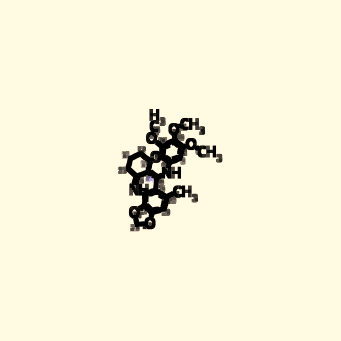 COc1cc(N/C(=C2/C(=N)CCCC2=O)c2cc3c(cc2C)OCO3)cc(OC)c1OC